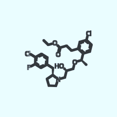 CCOC(=O)CCc1cc(Cl)ccc1[C@@H](C)OC[C@H](O)CN1CCC[C@H]1Cc1ccc(Cl)c(F)c1